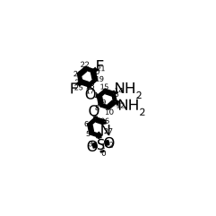 CS(=O)(=O)c1ccc(Oc2cc(N)c(N)cc2Oc2cc(F)ccc2F)cn1